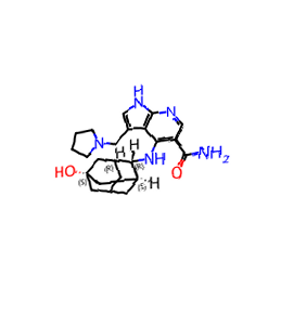 NC(=O)c1cnc2[nH]cc(CN3CCCC3)c2c1N[C@H]1[C@@H]2CC3C[C@H]1C[C@@](O)(C3)C2